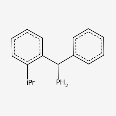 CC(C)c1ccccc1C(P)c1ccccc1